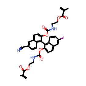 C=C(C)C(=O)OCCNC(=O)Oc1ccc2cc(I)ccc2c1-c1c(OC(=O)NCCOC(=O)C(=C)C)ccc2cc(C#N)ccc12